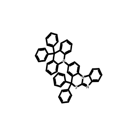 c1ccc(C2(c3ccccc3)Sc3nc4ccccc4n3-c3ccc(N4c5ccccc5C(c5ccccc5)(c5ccccc5)c5ccccc54)cc32)cc1